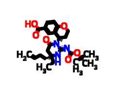 C=CCC[C@]1(CC)CC(=O)N([C@@H]2CCOc3ccc(C(=O)O)cc32)/C(=N/C(=O)OC(C)(C)C)N1